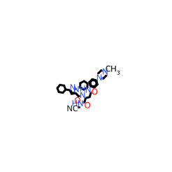 CN1CCN(c2ccc3nc(CC(NC(=O)c4cc(C5CCCCC5)nn4C4CCCCC4)C(=O)NCC#N)oc3c2)CC1